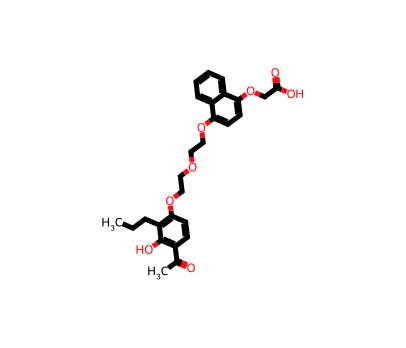 CCCc1c(OCCOCCOc2ccc(OCC(=O)O)c3ccccc23)ccc(C(C)=O)c1O